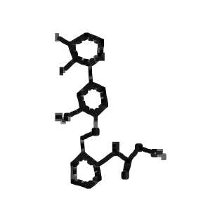 COC(=O)Nc1ccccc1COc1ccc(-c2nccc(I)c2F)cc1C